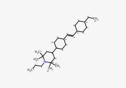 CCCN1C(C)(C)CC(C2CCC(/C=C/C3CCC(CC)CC3)CC2)CC1(C)C